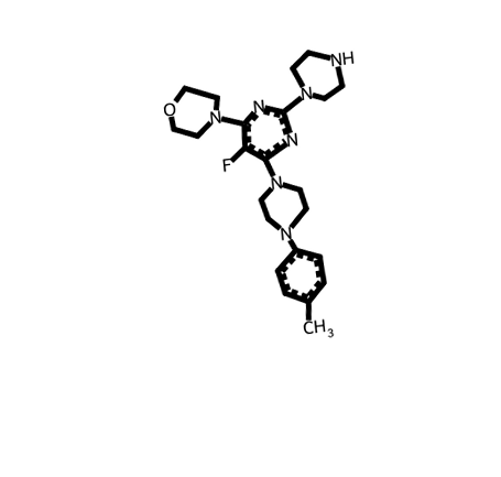 Cc1ccc(N2CCN(c3nc(N4CCNCC4)nc(N4CCOCC4)c3F)CC2)cc1